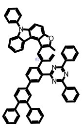 C=C/C(=C\c1c(C)oc2ccc3c(c4ccccc4n3-c3ccccc3)c12)c1ccc(-c2ccc(-c3ccccc3)c(-c3ccccc3)c2)cc1-c1nc(-c2ccccc2)nc(-c2ccccc2)n1